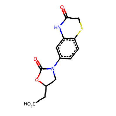 O=C(O)CC1CN(c2ccc3c(c2)NC(=O)CS3)C(=O)O1